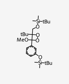 COC1(c2cccc(O[Si](C)(C)C(C)(C)C)c2)OOC1(CO[Si](C)(C)C(C)(C)C)C(C)(C)C